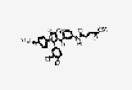 COc1ccc(N2C(=O)C(O)=C(C(=O)c3cccc(NC(=O)C=CC(=O)O)c3)C2c2ccc(Cl)c(Cl)c2)cc1